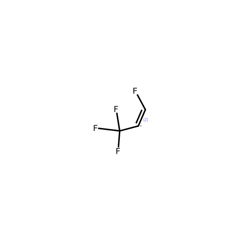 F/C=[C]\C(F)(F)F